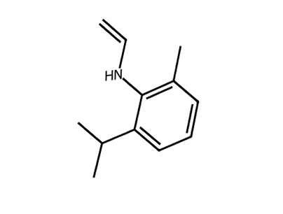 C=CNc1c(C)cccc1C(C)C